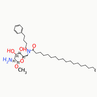 CCCCCCCCCCCCCCCCCC(=O)N(CCCCc1ccccc1)C[C@H]1O[C@H](OC)[C@H](N)[C@@H](O)[C@@H]1O